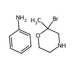 CC1(Br)CNCCO1.Nc1ccccc1